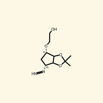 CC1(C)OC2C(O1)[C@H](N=N)C[C@@H]2OCCO